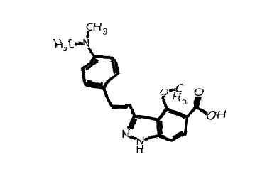 COc1c(C(=O)O)ccc2[nH]nc(C=Cc3ccc(N(C)C)cc3)c12